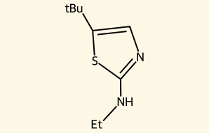 CCNc1ncc(C(C)(C)C)s1